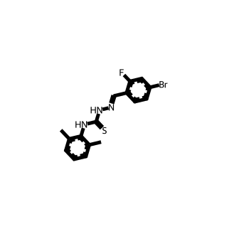 Cc1cccc(C)c1NC(=S)N/N=C/c1ccc(Br)cc1F